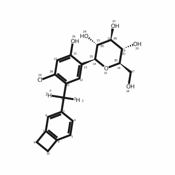 [2H]C([2H])(c1ccc2c(c1)CC2)c1cc([C@@H]2O[C@H](CO)[C@@H](O)[C@H](O)[C@H]2O)c(O)cc1Cl